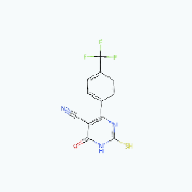 N#Cc1c(-c2ccc(C(F)(F)F)cc2)nc(S)[nH]c1=O